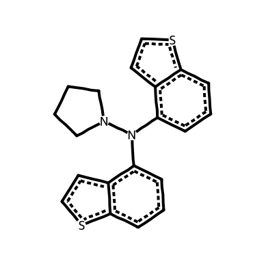 c1cc(N(c2cccc3sccc23)N2CCCC2)c2ccsc2c1